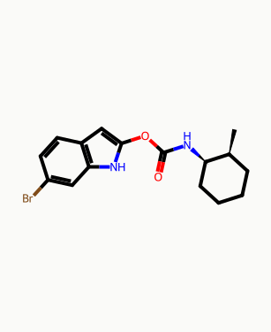 C[C@H]1CCCC[C@H]1NC(=O)Oc1cc2ccc(Br)cc2[nH]1